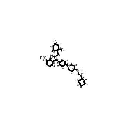 Fc1cc(F)c(Cn2nc3c(C(F)(F)F)cccc3c2-c2ccc(N3CCC(NCCc4ccccc4)CC3)cc2)c(F)c1